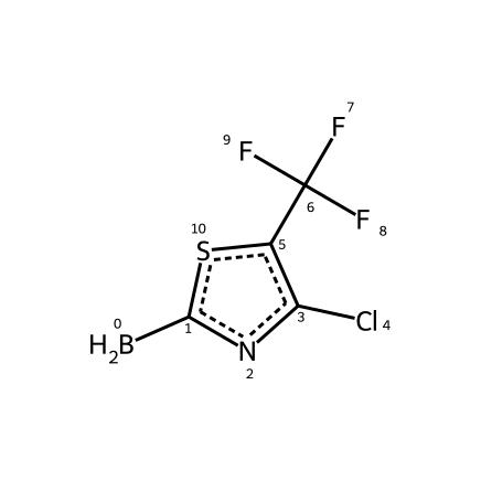 Bc1nc(Cl)c(C(F)(F)F)s1